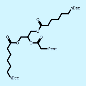 CCCCCCCCCCCCCCCC(=O)OCC(COC(=O)CCCCCCCCCCCCCCC)OC(=O)CC(C)CCC